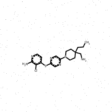 CCCC1(CN)CCN(c2cnc(Sc3ccnc(N)c3Cl)cn2)CC1